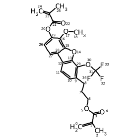 C=C(C)C(=O)OCCCc1ccc2c(oc3c(OC)c(OC(=O)C(=C)C)ccc32)c1OC(F)(F)F